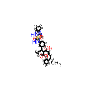 CC[C@@H](Cc1cc(O)c(C(c2cccc(NS(=O)(=O)c3nc4ccccc4[nH]3)c2)C2CC2)c(=O)o1)c1ccccc1